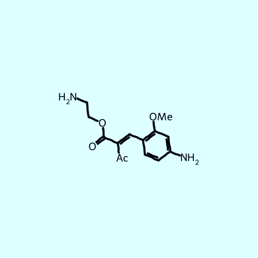 COc1cc(N)ccc1/C=C(\C(C)=O)C(=O)OCCN